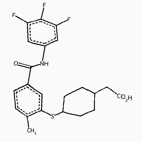 Cc1ccc(C(=O)Nc2cc(F)c(F)c(F)c2)cc1SC1CCC(CC(=O)O)CC1